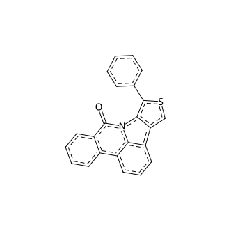 O=c1c2ccccc2c2cccc3c4csc(-c5ccccc5)c4n1c23